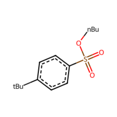 CCCCOS(=O)(=O)c1ccc(C(C)(C)C)cc1